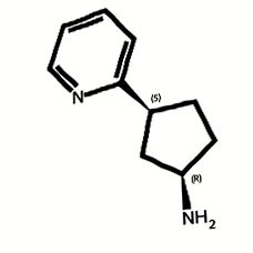 N[C@@H]1CC[C@H](c2ccccn2)C1